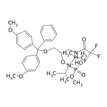 COc1ccc(C(OCC(CNC(=O)C(F)(F)F)O[N+](C(C)C)(C(C)C)P(=O)(O)OC)(c2ccccc2)c2ccc(OC)cc2)cc1